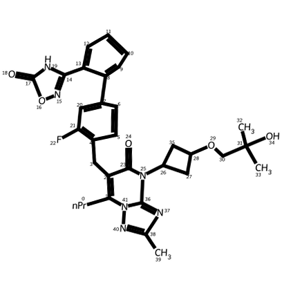 CCCc1c(Cc2ccc(-c3ccccc3-c3noc(=O)[nH]3)cc2F)c(=O)n(C2CC(OCC(C)(C)O)C2)c2nc(C)nn12